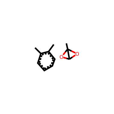 CC12OC1O2.Cc1ccccc1C